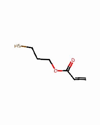 C=CC(=O)OCCCS